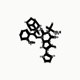 COc1ccccc1C(Cn1c(=O)n(C(C)(C)C(=O)O)c(=O)c2c(C)c(-c3ncco3)sc21)OC1C2CCC1CN(C)C2